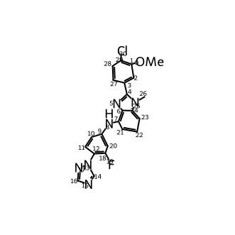 COc1cc(-c2nc3c(Nc4ccc(-n5cncn5)c(F)c4)cccc3n2C)ccc1Cl